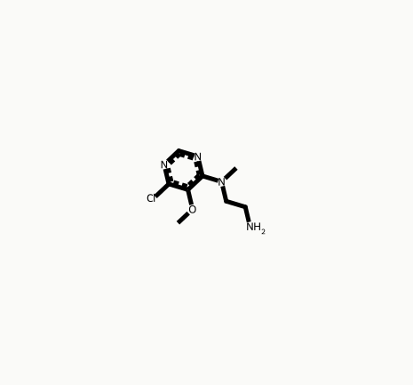 COc1c(Cl)ncnc1N(C)CCN